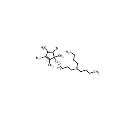 CC1=C(C)C(C)(C)[C]([Ti])=C1C.CCC[CH2][Al]([CH2]CCC)[CH2]CCC